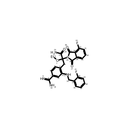 CCOC(Cc1ccc(C(=N)N)cc1NCc1ccccc1F)(C(N)=O)N1C(=O)c2cccc(F)c2C1=O